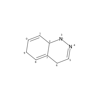 C1=CC2[N]N=CCC2=CC1